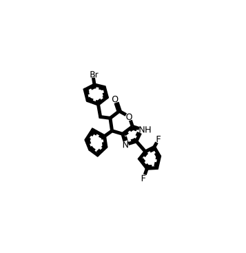 O=C1Oc2[nH]c(-c3cc(F)ccc3F)nc2C(c2ccccc2)C1Cc1ccc(Br)cc1